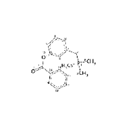 C[P+](C)(C)Cc1ccccc1.O=C([O-])c1ccccc1